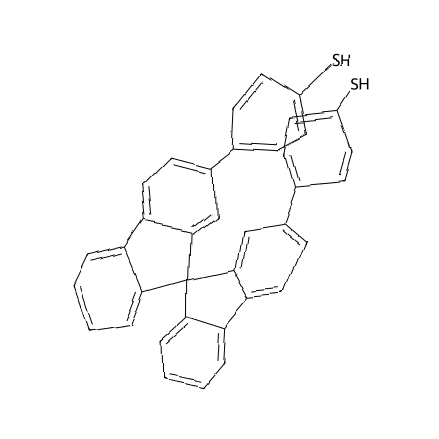 Sc1ccc(-c2ccc3c(c2)C2(c4ccccc4-3)c3ccccc3-c3ccc(-c4ccc(S)cc4)cc32)cc1